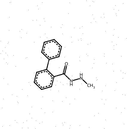 CNNC(=O)c1ccccc1-c1ccccc1